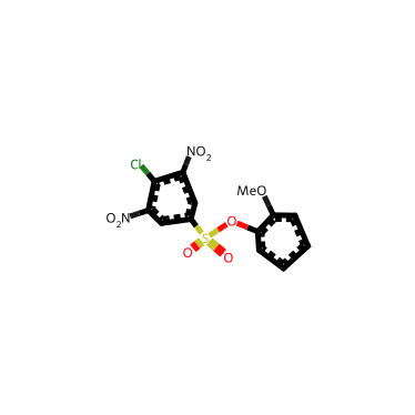 COc1ccccc1OS(=O)(=O)c1cc([N+](=O)[O-])c(Cl)c([N+](=O)[O-])c1